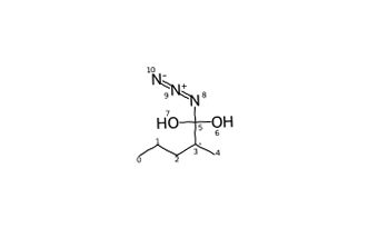 CCC[C](C)C(O)(O)N=[N+]=[N-]